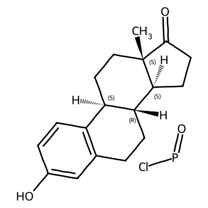 C[C@]12CC[C@@H]3c4ccc(O)cc4CC[C@H]3[C@@H]1CCC2=O.O=PCl